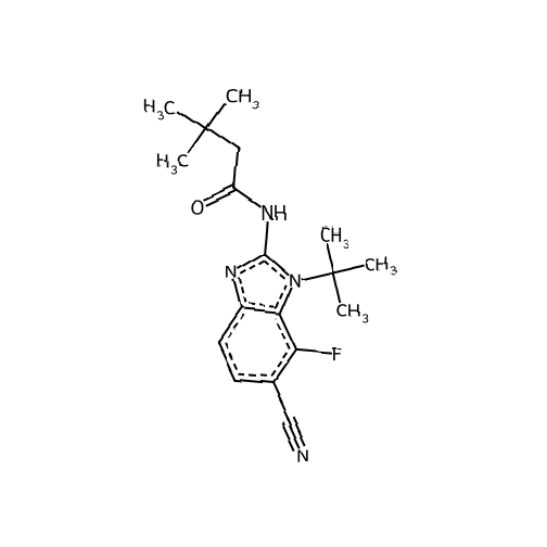 CC(C)(C)CC(=O)Nc1nc2ccc(C#N)c(F)c2n1C(C)(C)C